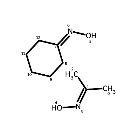 CC(C)=NO.ON=C1CCCCC1